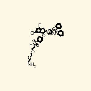 CC(C)(C)[Si](O[C@@H]1CCN([C@@H]2Cc3c(F)cc(Cl)cc3[C@@H]2Oc2ccc(S(=O)(=O)NCCOCCOCCN)cc2)C1)(c1ccccc1)c1ccccc1